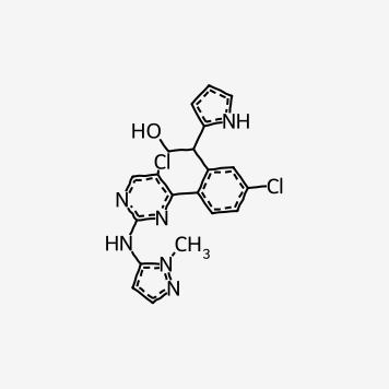 Cn1nccc1Nc1ncc(Cl)c(-c2ccc(Cl)cc2C(CO)c2ccc[nH]2)n1